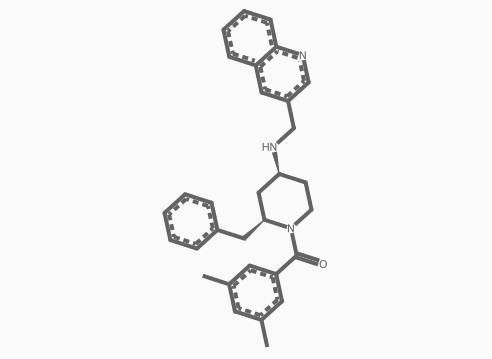 Cc1cc(C)cc(C(=O)N2CC[C@H](NCc3cnc4ccccc4c3)C[C@@H]2Cc2ccccc2)c1